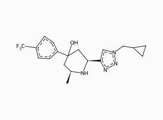 C[C@H]1CC(O)(c2ccc(C(F)(F)F)cc2)C[C@@H](c2cn(CC3CC3)nn2)N1